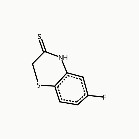 Fc1ccc2c(c1)NC(=S)CS2